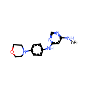 CCCNc1cc(Nc2ccc(N3CCOCC3)cc2)ncn1